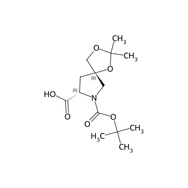 CC(C)(C)OC(=O)N1C[C@]2(COC(C)(C)O2)C[C@H]1C(=O)O